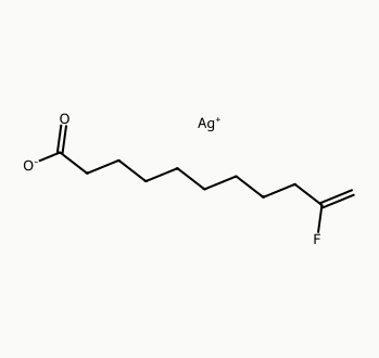 C=C(F)CCCCCCCCC(=O)[O-].[Ag+]